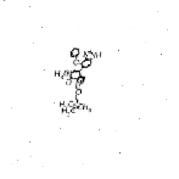 Cn1cc(-c2ccc3[nH]cnc3c2Oc2ccccc2)c2ccn(COCC[Si](C)(C)C)c2c1=O